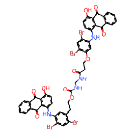 O=C(CCOc1cc(Nc2ccc(O)c3c2C(=O)c2ccccc2C3=O)c(Br)cc1Br)NCNC(=O)OCCc1cc(Nc2ccc(O)c3c2C(=O)c2ccccc2C3=O)c(Br)cc1Br